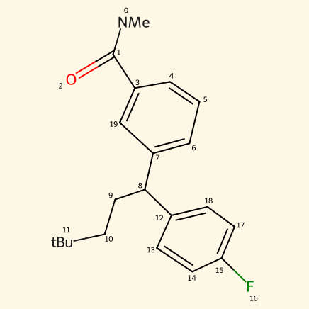 CNC(=O)c1cccc(C(CCC(C)(C)C)c2ccc(F)cc2)c1